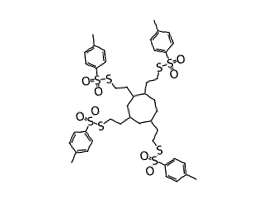 Cc1ccc(S(=O)(=O)SCCC2CCC(CCSS(=O)(=O)c3ccc(C)cc3)C(CCSS(=O)(=O)c3ccc(C)cc3)CC(CCSS(=O)(=O)c3ccc(C)cc3)C2)cc1